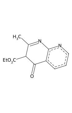 CCOC(=O)C1C(=O)c2cccnc2N=C1C